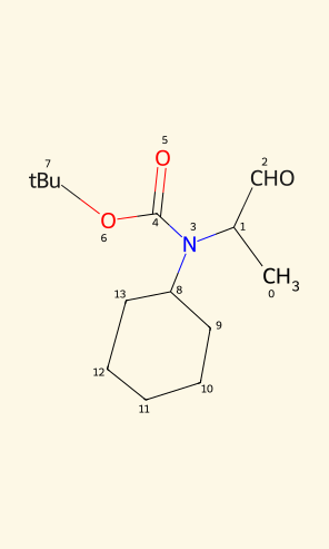 CC(C=O)N(C(=O)OC(C)(C)C)C1CCCCC1